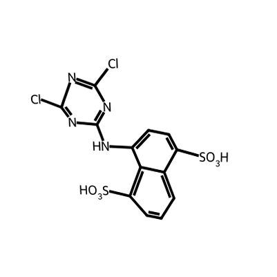 O=S(=O)(O)c1ccc(Nc2nc(Cl)nc(Cl)n2)c2c(S(=O)(=O)O)cccc12